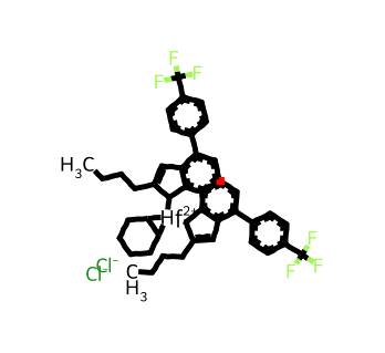 CCCCC1=Cc2c(-c3ccc(C(F)(F)F)cc3)cccc2[CH]1[Hf+2]1([CH]2C(CCCC)=Cc3c(-c4ccc(C(F)(F)F)cc4)cccc32)[CH]2CCCC[CH]21.[Cl-].[Cl-]